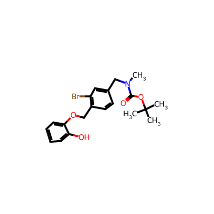 CN(Cc1ccc(COc2ccccc2O)c(Br)c1)C(=O)OC(C)(C)C